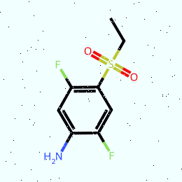 CCS(=O)(=O)c1cc(F)c(N)cc1F